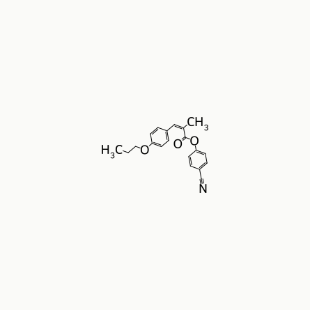 CCCOc1ccc(C=C(C)C(=O)Oc2ccc(C#N)cc2)cc1